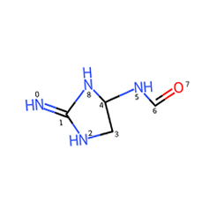 N=C1NCC(NC=O)N1